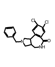 O=C1NCC2CN(Cc3ccccc3)CC2c2cc(Cl)c(Cl)cc21